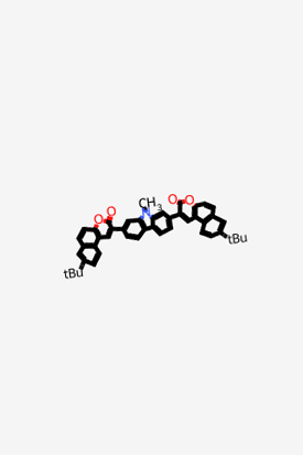 Cn1c2cc(-c3cc4c(ccc5cc(C(C)(C)C)ccc54)oc3=O)ccc2c2ccc(-c3cc4c(ccc5cc(C(C)(C)C)ccc54)oc3=O)cc21